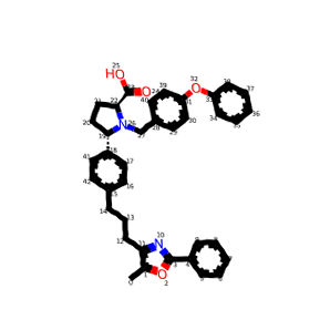 Cc1oc(-c2ccccc2)nc1CCCc1ccc([C@@H]2CC[C@@H](C(=O)O)N2Cc2ccc(Oc3ccccc3)cc2)cc1